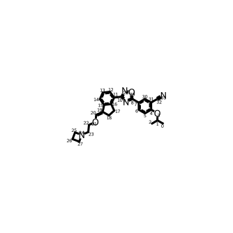 CC(C)Oc1ccc(-c2nc(-c3cccc4c3CC/C4=C\OCCN3CCC3)no2)cc1C#N